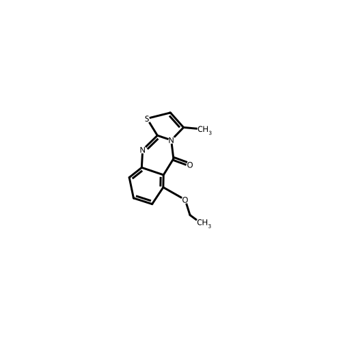 CCOc1cccc2nc3scc(C)n3c(=O)c12